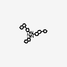 c1ccc(-c2ccc3cc(-c4nc(-c5ccc(-c6cccc7ccccc67)cc5)nc(-c5ccc6ccccc6c5)n4)ccc3c2)cc1